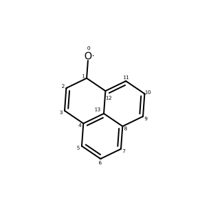 [O]C1C=Cc2cccc3cccc1c23